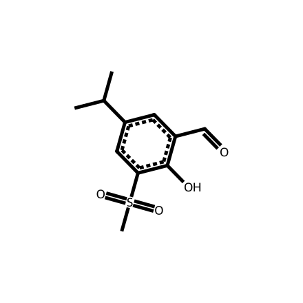 CC(C)c1cc(C=O)c(O)c(S(C)(=O)=O)c1